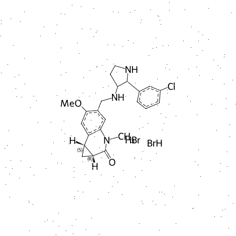 Br.Br.COc1cc2c(cc1CNC1CCNC1c1cccc(Cl)c1)N(C)C(=O)[C@@H]1C[C@H]21